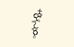 Cn1c(CCNC(=O)c2cccn3c(C(C)(C)C)nnc23)nc2cc(Cl)ccc21